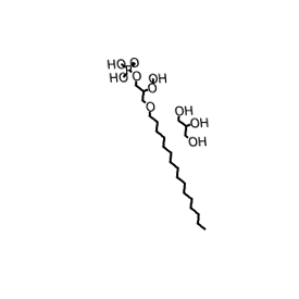 CCCCCCCCCCCCCCCCOCC(COP(=O)(O)O)OO.OCC(O)CO